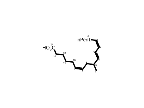 CCCCC/C=C\C=C\C(C)C/C=C\CCCCC(=O)O